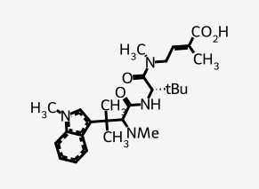 CNC(C(=O)N[C@H](C(=O)N(C)C/C=C(\C)C(=O)O)C(C)(C)C)C(C)(C)c1cn(C)c2ccccc12